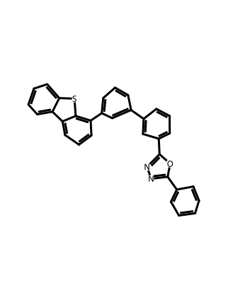 c1ccc(-c2nnc(-c3cccc(-c4cccc(-c5cccc6c5sc5ccccc56)c4)c3)o2)cc1